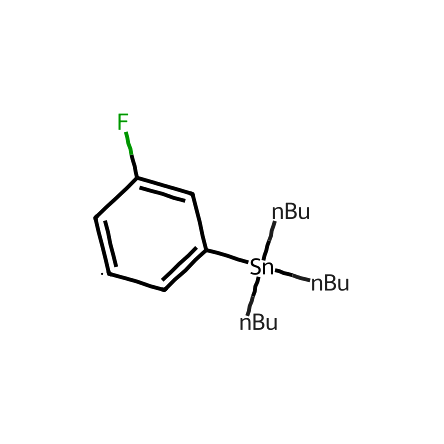 CCC[CH2][Sn]([CH2]CCC)([CH2]CCC)[c]1c[c]cc(F)c1